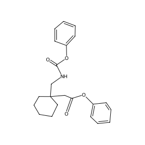 O=C(CC1(CNC(=O)Oc2ccccc2)CCCCC1)Oc1ccccc1